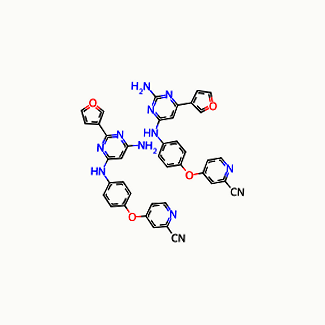 N#Cc1cc(Oc2ccc(Nc3cc(-c4ccoc4)nc(N)n3)cc2)ccn1.N#Cc1cc(Oc2ccc(Nc3cc(N)nc(-c4ccoc4)n3)cc2)ccn1